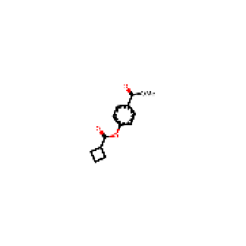 COC(=O)c1ccc(OC(=O)C2CCC2)cc1